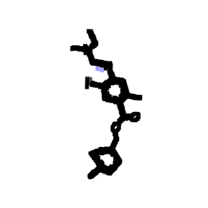 CCN(C)/C=N/c1cc(C)c(C(=O)OCc2ccc(C)cc2)cc1F